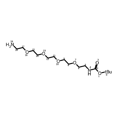 CC(C)(C)OC(=O)NCCOCCOCCOCCOCCN